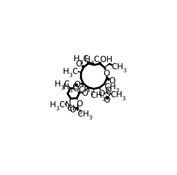 CC[C@H]1OC(=O)[C@H](C)[C@@H](OS(C)(=O)=O)[C@H](C)[C@@H](O[C@@H]2O[C@H](C)C[C@H](N(C)C)[C@H]2OC(C)=O)[C@](C)(OC)C[C@@H](C)C(=O)/C(C)=C/[C@]1(C)O